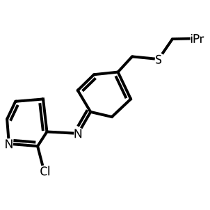 CC(C)CSCC1=CCC(=Nc2cccnc2Cl)C=C1